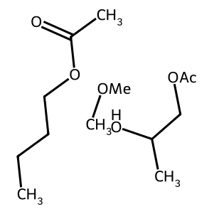 CC(=O)OCC(C)O.CCCCOC(C)=O.COC